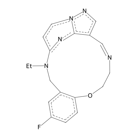 CCN1Cc2cc(F)ccc2OCCN=Cc2cnn3ccc1nc23